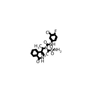 CC(c1c[nH]c(=O)c2ccccc12)N(C(=O)Nc1ccc(F)c(Cl)c1)C(C)S(N)(=O)=O